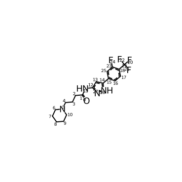 O=C(CCCN1CCCCC1)Nc1cc(-c2ccc(C(F)(F)F)c(F)c2)[nH]n1